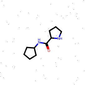 O=C(NC1CCCC1)C1CCCN1